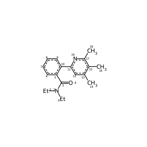 CCN(CC)C(=O)c1ccccc1-c1cc(C)c(C)c(C)n1